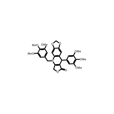 COc1cc(CN2C3=C(C(=O)OC3)C(c3cc(OC)c(OC)c(OC)c3)c3cc4c(cc32)OCO4)cc(OC)c1OC